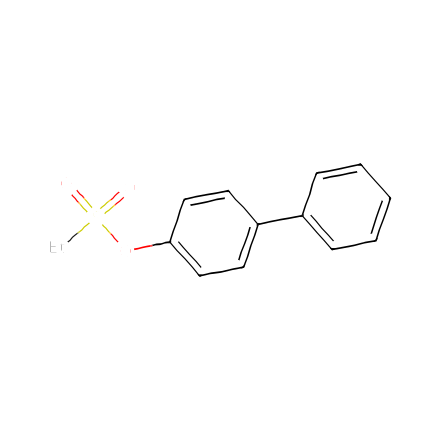 CCS(=O)(=O)Oc1ccc(-c2ccccc2)cc1